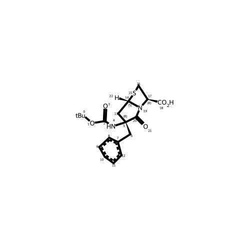 CC(C)(C)OC(=O)N[C@]1(Cc2ccccc2)C[C@@H]2SC[C@@H](C(=O)O)N2C1=O